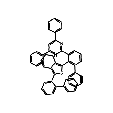 c1cccc(-c2cccc(-c3nc(-c4ccccc4)cc(-c4ccccc4)n3)c2-c2sc(-c3ccccc3-c3ccccc3)c3c2CCC=C3)c#1